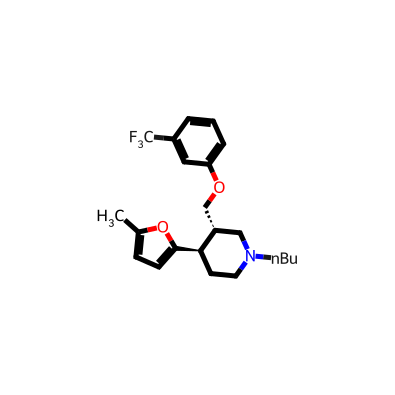 CCCCN1CC[C@@H](c2ccc(C)o2)[C@H](COc2cccc(C(F)(F)F)c2)C1